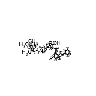 CN(CCCN1CCN(C(=O)CN(C(=O)O)C2CC2c2cc(F)cc(F)c2OCc2ccccc2)CC1)C(=O)OC(C)(C)C